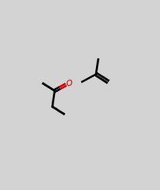 C=C(C)C.CCC(C)=O